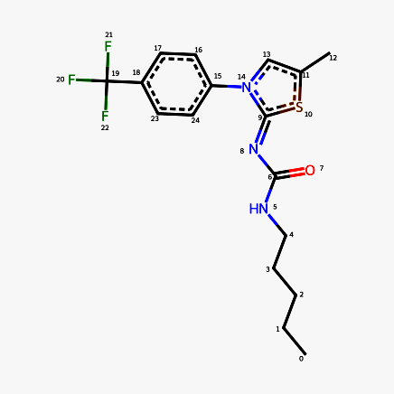 CCCCCNC(=O)N=c1sc(C)cn1-c1ccc(C(F)(F)F)cc1